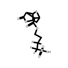 O=C(OCCC(F)(F)C(F)(F)S(=O)(=O)O)C1C2CC3OC(=O)C1C3S2